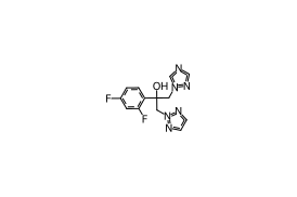 OC(Cn1cncn1)(Cn1nccn1)c1ccc(F)cc1F